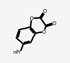 CCCc1ccc2oc(=O)c(=O)oc2c1